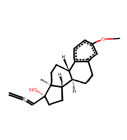 C=C=C[C@]1(O)CC[C@H]2[C@@H]3CCc4cc(OC)ccc4[C@H]3CC[C@@]21C